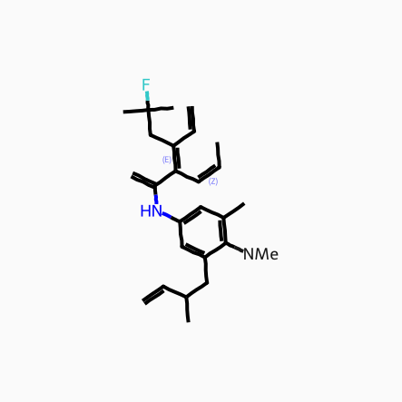 C=C/C(CC(C)(C)F)=C(\C=C/C)C(=C)Nc1cc(C)c(NC)c(CC(C)C=C)c1